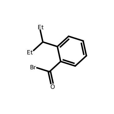 CCC(CC)c1ccccc1C(=O)Br